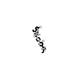 C=CC(c1ccc(Cl)s1)S(=O)(=O)NC(=O)N1CCN(c2ncc(-c3noc(CC)n3)cc2Cl)CC1